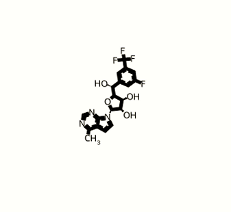 Cc1ncnc2c1ccn2[C@@H]1OC([C@H](O)c2cc(F)cc(C(F)(F)F)c2)[C@@H](O)[C@H]1O